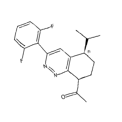 CC(=O)C1CC[C@H](C(C)C)c2cc(-c3c(F)cccc3F)nnc21